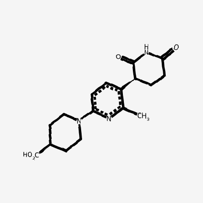 Cc1nc(N2CCC(C(=O)O)CC2)ccc1[C@@H]1CCC(=O)NC1=O